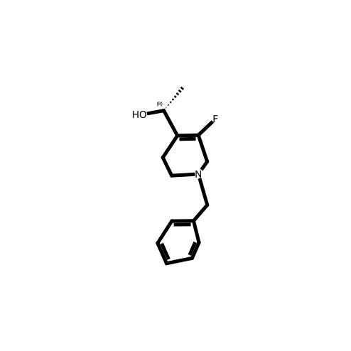 C[C@@H](O)C1=C(F)CN(Cc2ccccc2)CC1